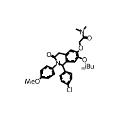 CC[C@@H](C)Oc1cc2c(cc1OCC(=O)N(C)C)CC(=O)N(c1ccc(OC)cc1)C2c1ccc(Cl)cc1